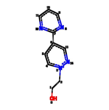 OCC[n+]1ccc(-c2ncccn2)cn1